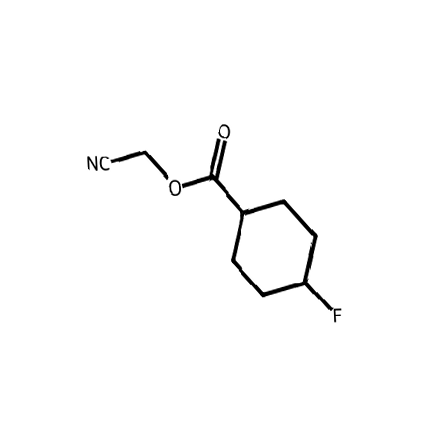 N#CCOC(=O)C1CCC(F)CC1